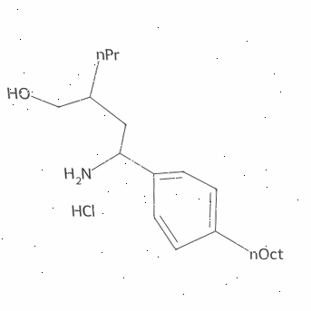 CCCCCCCCc1ccc(C(N)CC(CO)CCC)cc1.Cl